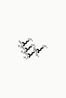 CCCCC(CC)C[O][Ti].CCCCC(CC)C[O][Ti].CCCCC(CC)C[O][Ti].CCCCC(CC)C[O][Ti]